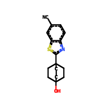 N#Cc1ccc2nc(C34CCC(O)(CC3)CC4)sc2c1